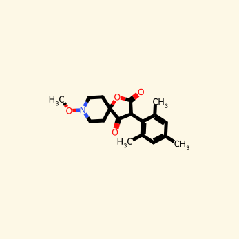 CON1CCC2(CC1)OC(=O)C(c1c(C)cc(C)cc1C)C2=O